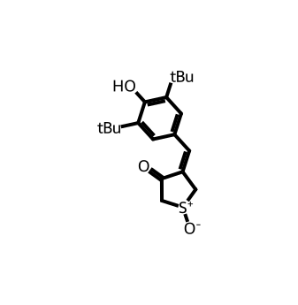 CC(C)(C)c1cc(C=C2C[S+]([O-])CC2=O)cc(C(C)(C)C)c1O